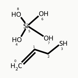 C=CCS.O[Si](O)(O)O